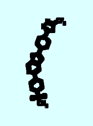 CS(=O)(=O)N1CC=C(c2cc3cc(C4CCN(c5nnc(C(F)(F)F)s5)CC4)oc3cn2)CC1